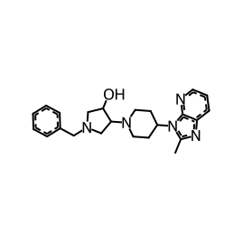 Cc1nc2cccnc2n1C1CCN(C2CN(Cc3ccccc3)CC2O)CC1